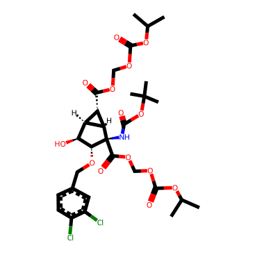 CC(C)OC(=O)OCOC(=O)[C@H]1[C@@H]2[C@H](O)[C@@H](OCc3ccc(Cl)c(Cl)c3)[C@@](NC(=O)OC(C)(C)C)(C(=O)OCOC(=O)OC(C)C)[C@H]12